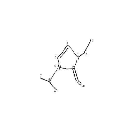 CCn1ccn(C(C)C)c1=O